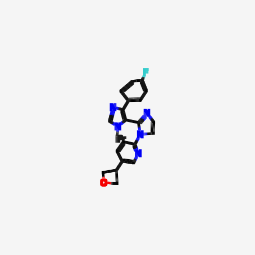 CC(C)n1cnc(-c2ccc(F)cc2)c1-c1nccn1-c1ccc(C2COC2)cn1